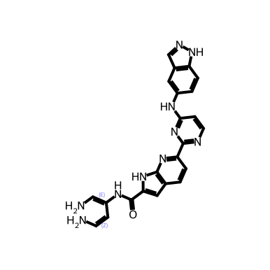 N/C=C\C(=C/N)NC(=O)c1cc2ccc(-c3nccc(Nc4ccc5[nH]ncc5c4)n3)nc2[nH]1